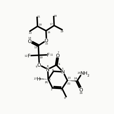 CC1=C[C@@H]2CN(C(=O)N2OC(F)(F)C(=O)OC(C(C)C)C(C)C)[C@@H]1C(N)=O